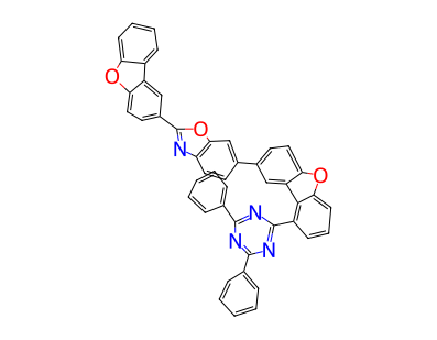 c1ccc(-c2nc(-c3ccccc3)nc(-c3cccc4oc5ccc(-c6ccc7nc(-c8ccc9oc%10ccccc%10c9c8)oc7c6)cc5c34)n2)cc1